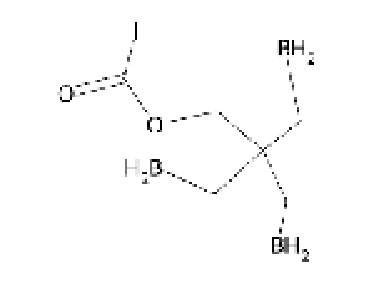 BCC(CB)(CB)COC(=O)I